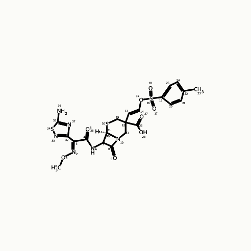 CON=C(C(=O)NC1C(=O)N2CC(C=COS(=O)(=O)c3ccc(C)cc3)(C(=O)O)CS[C@H]12)c1nsc(N)n1